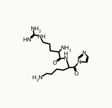 N=C(N)NCCCC(N)C(=O)NC(CCCCN)C(=O)n1ccnc1